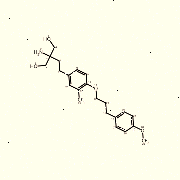 NC(CO)(CO)CCc1ccc(OCCCc2ccc(OC(F)(F)F)cc2)c(C(F)(F)F)c1